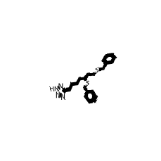 c1ccc(CSCCC(CCCCc2nn[nH]n2)SCc2ccccc2)cc1